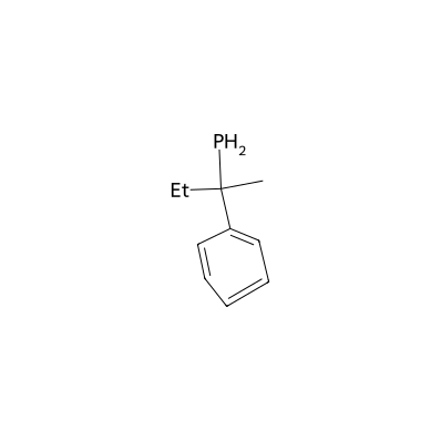 CCC(C)(P)c1ccccc1